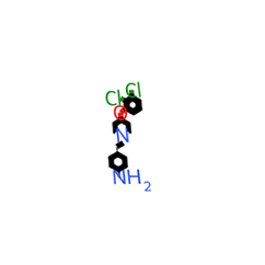 N[C@H]1CC[C@H](CCN2CCC(Oc3cccc(Cl)c3Cl)CC2)CC1